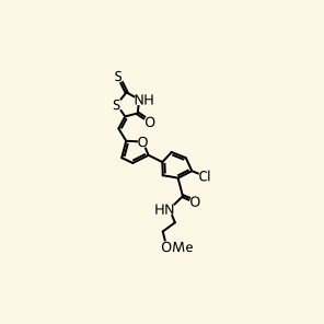 COCCNC(=O)c1cc(-c2ccc(C=C3SC(=S)NC3=O)o2)ccc1Cl